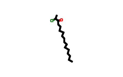 CCCCCCCCCCCCCCC(=O)C(C)Cl